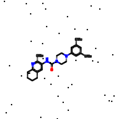 COc1cc(OC)cc(N2CCN(C(=O)Nc3cc4c(nc3OC)CCCC4)CC2)c1